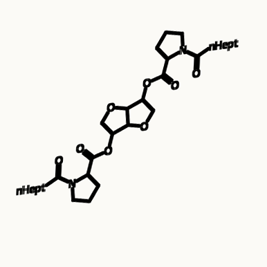 CCCCCCCC(=O)N1CCCC1C(=O)OC1COC2C(OC(=O)C3CCCN3C(=O)CCCCCCC)COC12